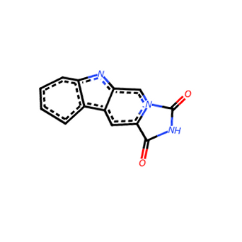 O=C1NC(=O)n2cc3nc4ccccc4c-3cc21